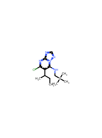 CCC(C)c1c(Cl)nc2ncnn2c1NC[Si](C)(C)C